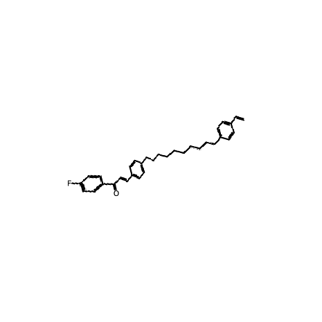 C=Cc1ccc(CCCCCCCCCCc2ccc(C=CC(=O)c3ccc(F)cc3)cc2)cc1